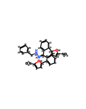 O=[N+]([O-])c1ccc(-c2ccccc2C(=NNCc2ccccc2)c2ccccc2-c2ccc([N+](=O)[O-])o2)o1